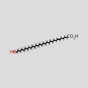 O=C(O)CCCC/C=C/CCCCCCCCCCCCCCCCCCCCCCCO